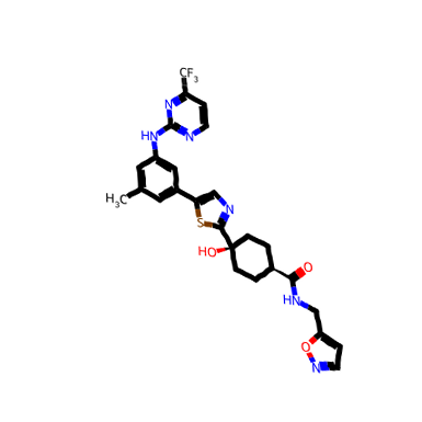 Cc1cc(Nc2nccc(C(F)(F)F)n2)cc(-c2cnc([C@]3(O)CC[C@@H](C(=O)NCc4ccno4)CC3)s2)c1